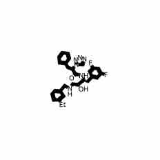 CCc1cccc(CNC[C@H](O)[C@H](Cc2cc(F)cc(F)c2)NC(=O)C(Cc2ccccc2)n2cnnn2)c1